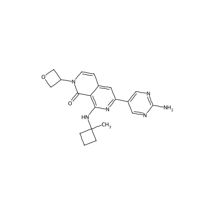 CC1(Nc2nc(-c3cnc(N)nc3)cc3ccn(C4COC4)c(=O)c23)CCC1